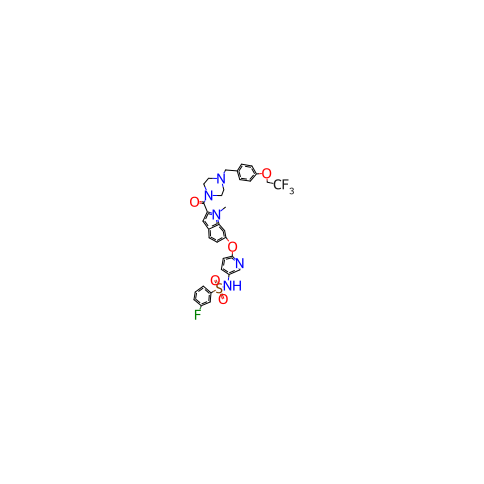 Cn1c(C(=O)N2CCN(Cc3ccc(OCC(F)(F)F)cc3)CC2)cc2ccc(Oc3ccc(NS(=O)(=O)c4cccc(F)c4)cn3)cc21